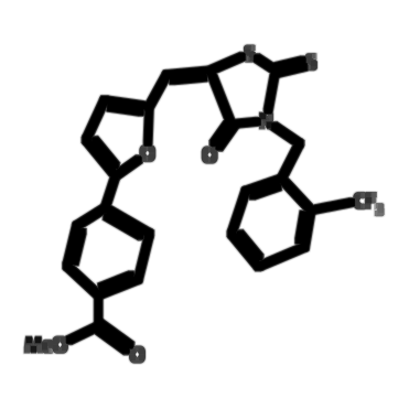 COC(=O)c1ccc(-c2ccc(C=C3SC(=S)N(Cc4ccccc4C(F)(F)F)C3=O)o2)cc1